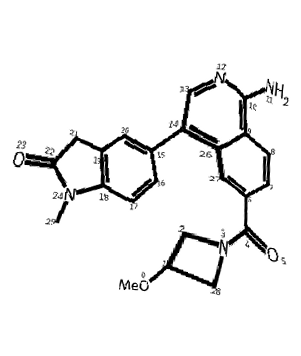 COC1CN(C(=O)c2ccc3c(N)ncc(-c4ccc5c(c4)CC(=O)N5C)c3c2)C1